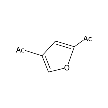 CC(=O)c1coc(C(C)=O)c1